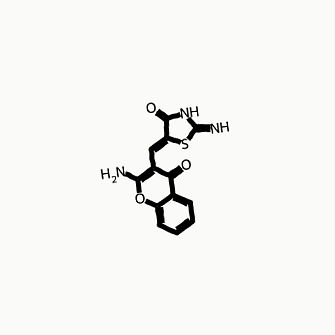 N=C1NC(=O)C(=Cc2c(N)oc3ccccc3c2=O)S1